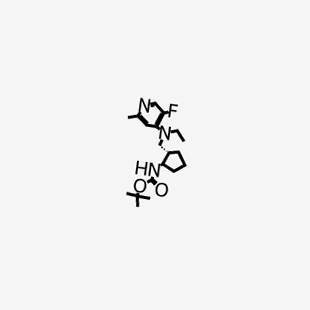 CCN(C[C@@H]1CCC[C@H]1NC(=O)OC(C)(C)C)c1cc(C)ncc1F